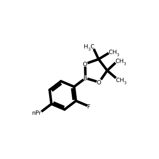 CCCc1ccc(B2OC(C)(C)C(C)(C)O2)c(F)c1